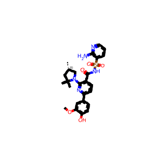 COc1cc(-c2ccc(C(=O)NS(=O)(=O)c3cccnc3N)c(N3C[C@@H](C)CC3(C)C)n2)ccc1O